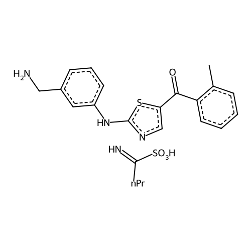 CCCC(=N)S(=O)(=O)O.Cc1ccccc1C(=O)c1cnc(Nc2cccc(CN)c2)s1